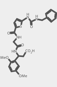 COc1ccc(OC)c(C(CC(=O)O)NC(=O)CNC(=O)c2ccc(NC(=O)NCc3ccccc3)s2)c1